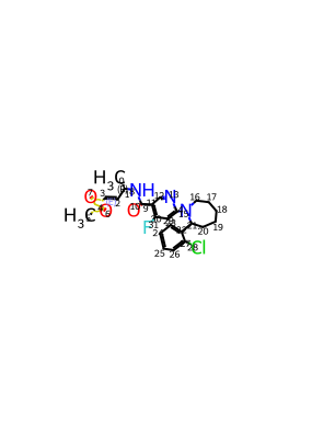 C[C@H](/C=C/S(C)(=O)=O)NC(=O)c1cnc(N2CCCCCC2c2ccccc2Cl)cc1F